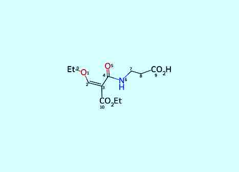 CCOC=C(C(=O)NCCC(=O)O)C(=O)OCC